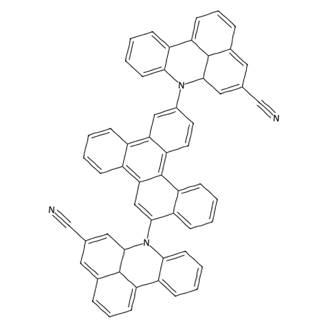 N#CC1=CC2C3C(=C1)C=CC=C3c1ccccc1N2c1ccc2c(c1)c1ccccc1c1cc(N3c4ccccc4C4=CC=CC5=CC(C#N)=CC3C54)c3ccccc3c21